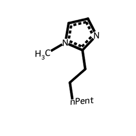 CCCCCCCc1nccn1C